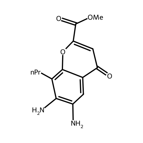 CCCc1c(N)c(N)cc2c(=O)cc(C(=O)OC)oc12